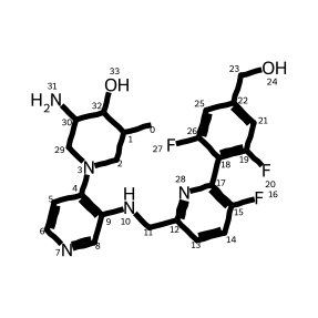 CC1CN(c2ccncc2NCc2ccc(F)c(-c3c(F)cc(CO)cc3F)n2)CC(N)C1O